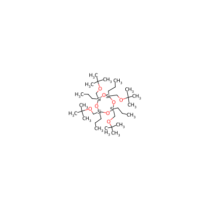 CCC[Si]1(COC(C)(C)C)O[Si](CCC)(COC(C)(C)C)O[Si](CCC)(COC(C)(C)C)O[Si](CCC)(COC(C)(C)C)O1